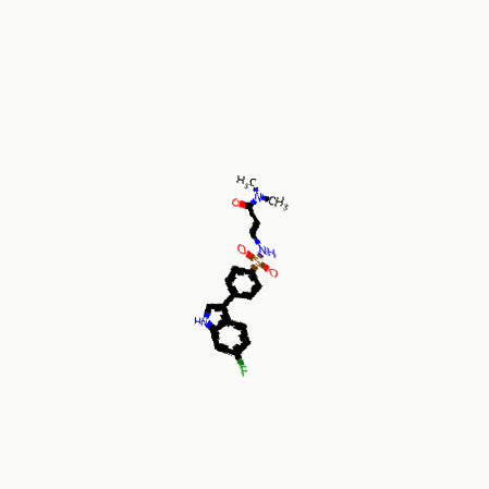 CN(C)C(=O)CCNS(=O)(=O)c1ccc(-c2c[nH]c3cc(F)ccc23)cc1